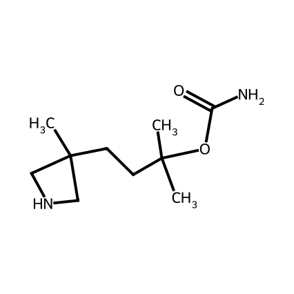 CC1(CCC(C)(C)OC(N)=O)CNC1